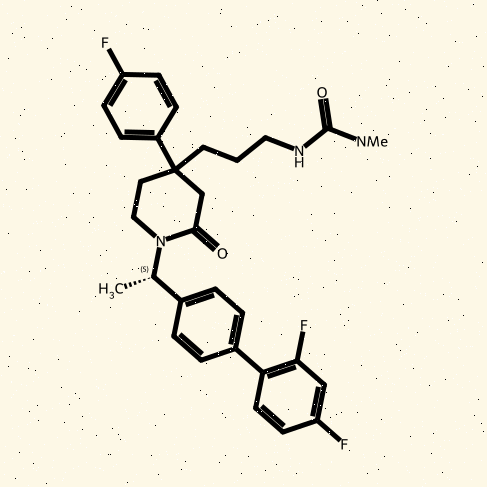 CNC(=O)NCCCC1(c2ccc(F)cc2)CCN([C@@H](C)c2ccc(-c3ccc(F)cc3F)cc2)C(=O)C1